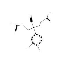 N#CC(CCC(=O)O)(CCC(=O)O)c1ccc(F)c(Cl)c1